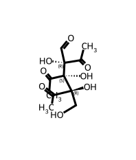 CC(=O)[C@@](O)([C@@](O)(C=O)C(C)=O)[C@](O)(CO)C(C)=O